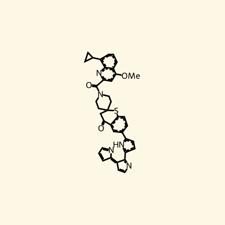 COc1cc(C(=O)N2CCC3(CC2)CC(=O)c2cc(-c4ccc(C5=NC=CC5=C5C=CC=N5)[nH]4)ccc2S3)nc2c(C3CC3)cccc12